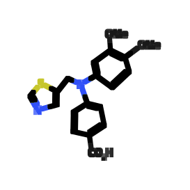 COc1ccc(N(Cc2cncs2)c2ccc(C(=O)O)cc2)cc1OC